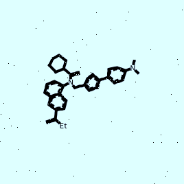 C=C(CC)c1ccc2c(N(Cc3ccc(-c4ccc(N(C)C)cc4)cc3)C(=C)C3CCCCC3)cccc2c1